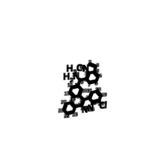 Cn1ccc2cccc(C(N)c3cccc(-c4c(-c5ccccc5)nnc5c(Cl)cccc45)c3)c21